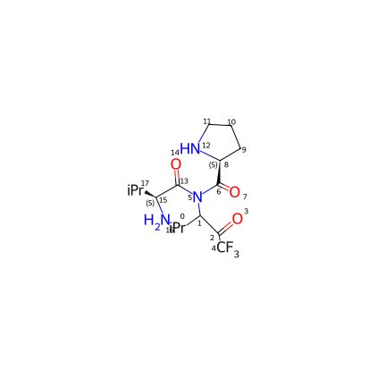 CC(C)C(C(=O)C(F)(F)F)N(C(=O)[C@@H]1CCCN1)C(=O)[C@@H](N)C(C)C